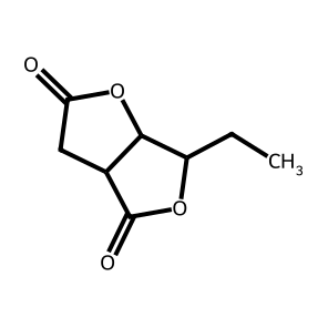 CCC1OC(=O)C2CC(=O)OC12